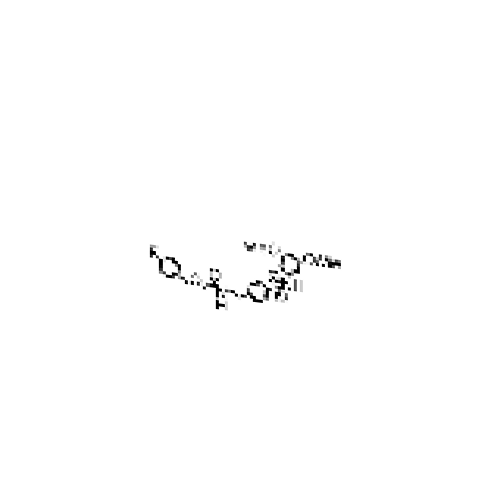 COc1cc(NS(=O)(=O)c2ccc(CCNC(=O)COCc3ccc(F)cc3)cc2)cc(OC)c1